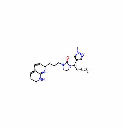 Cn1cc(C(CC(=O)O)N2CCN(CCCC3C=CC4=CCCNC4=N3)C2=O)cn1